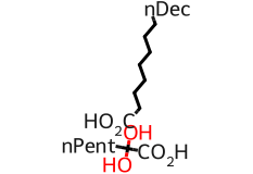 CCCCCC(O)(O)C(=O)O.CCCCCCCCCCCCCCCCCC(=O)O